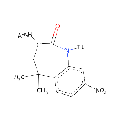 CCN1C(=O)C(NC(C)=O)CC(C)(C)c2ccc([N+](=O)[O-])cc21